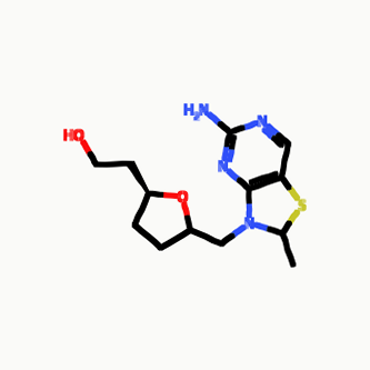 CC1Sc2cnc(N)nc2N1CC1CC[C@@H](CCO)O1